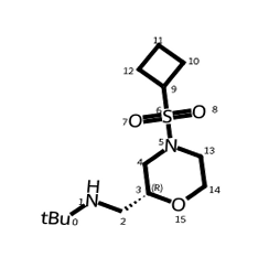 CC(C)(C)NC[C@@H]1CN(S(=O)(=O)C2CCC2)CCO1